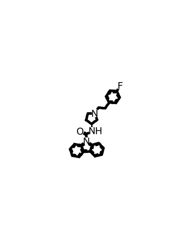 O=C(N[C@H]1CCN(CCc2ccc(F)cc2)C1)n1c2ccccc2c2ccccc21